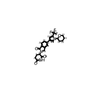 O=C1CCC(N2Cc3cc(-c4cc(C(F)(F)F)n(C5CCCCO5)n4)ccc3C2=O)C(=O)N1